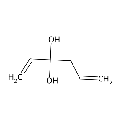 C=CCC(O)(O)C=C